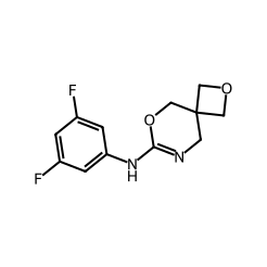 Fc1cc(F)cc(NC2=NCC3(COC3)CO2)c1